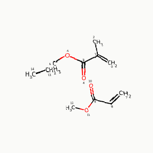 C=C(C)C(=O)OC.C=CC(=O)OC.[CH2]C